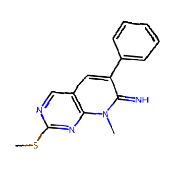 CSc1ncc2cc(-c3ccccc3)c(=N)n(C)c2n1